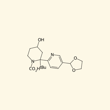 CC(C)(C)C1(c2ccc(C3OCCO3)cn2)CC(O)CCN1C(=O)O